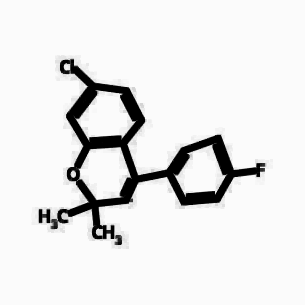 CC1(C)[C]=C(c2ccc(F)cc2)c2ccc(Cl)cc2O1